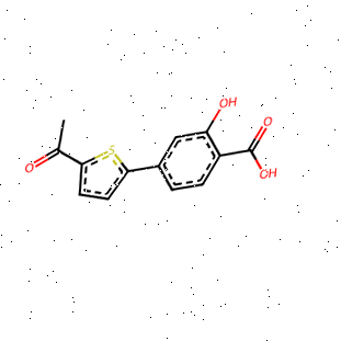 CC(=O)c1ccc(-c2ccc(C(=O)O)c(O)c2)s1